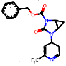 O=C(OCc1ccccc1)N1C(=O)N(C2C=C(C(F)(F)F)N=CC2)C2CC21